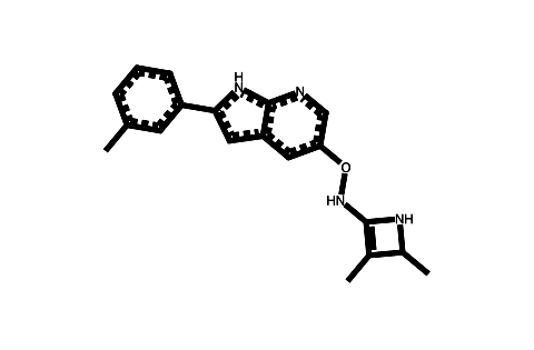 CC1=C(NOc2cnc3[nH]c(-c4cccc(C)c4)cc3c2)NC1C